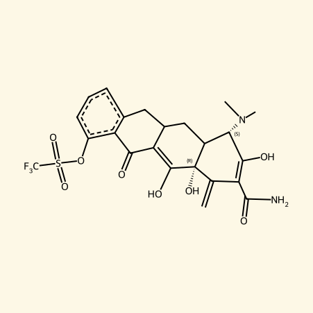 C=C1C(C(N)=O)=C(O)[C@@H](N(C)C)C2CC3Cc4cccc(OS(=O)(=O)C(F)(F)F)c4C(=O)C3=C(O)[C@]12O